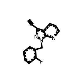 C#Cc1nn(Cc2ccccc2F)c2ncccc12